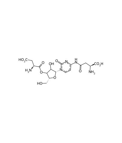 N[C@@H](CC(=O)Nc1ccn([C@@H]2O[C@H](CO)C(OC(=O)[C@@H](N)CC(=O)O)C2O)c(=O)n1)C(=O)O